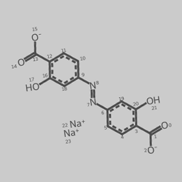 O=C([O-])c1ccc(N=Nc2ccc(C(=O)[O-])c(O)c2)cc1O.[Na+].[Na+]